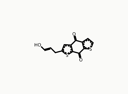 O=C1c2ccsc2C(=O)c2sc(CC=CO)cc21